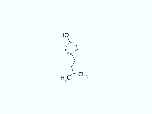 CC(C)[CH]Cc1ccc(O)cc1